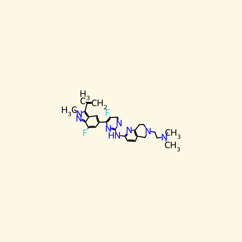 C=C(C)c1c2cc(-c3nc(Nc4ccc5c(n4)CCN(CCN(C)C)C5)ncc3F)cc(F)c2nn1C